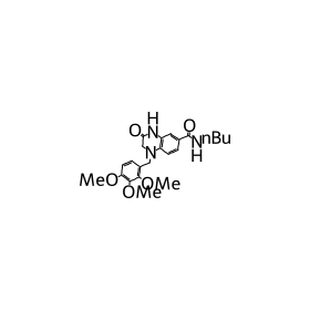 CCCCNC(=O)c1ccc2c(c1)NC(=O)CN2Cc1ccc(OC)c(OC)c1OC